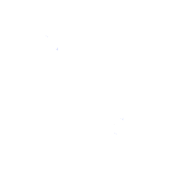 N=CNCCCCCCCCCCCC(=N)N